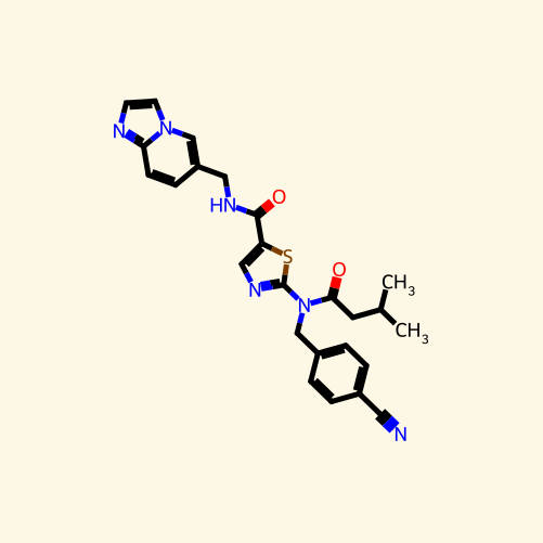 CC(C)CC(=O)N(Cc1ccc(C#N)cc1)c1ncc(C(=O)NCc2ccc3nccn3c2)s1